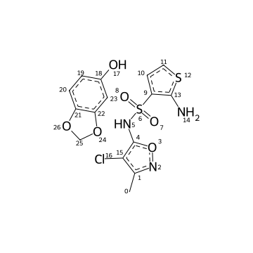 Cc1noc(NS(=O)(=O)c2ccsc2N)c1Cl.Oc1ccc2c(c1)OCO2